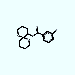 O=C(OC1CCCOC12CCCCO2)c1cccc(F)c1